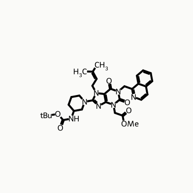 COC(=O)Cn1c(=O)n(Cc2nccc3ccccc23)c(=O)c2c1nc(N1CCCC(NC(=O)OC(C)(C)C)C1)n2CC=C(C)C